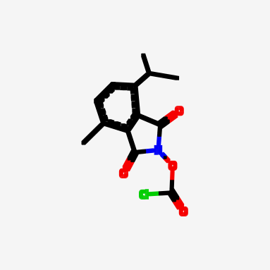 Cc1ccc(C(C)C)c2c1C(=O)N(OC(=O)Cl)C2=O